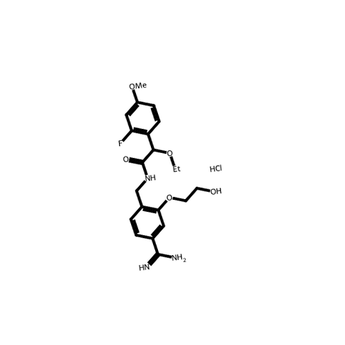 CCOC(C(=O)NCc1ccc(C(=N)N)cc1OCCO)c1ccc(OC)cc1F.Cl